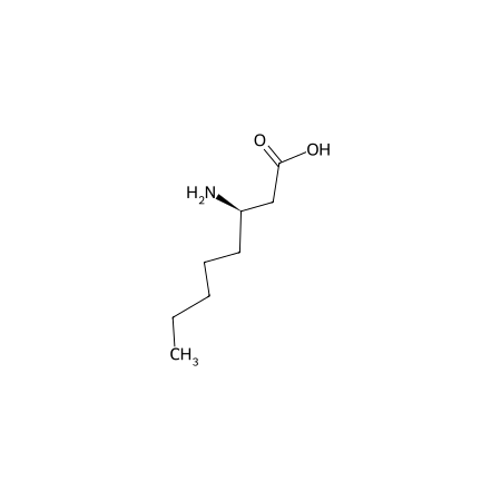 CCCCC[C@@H](N)CC(=O)O